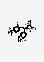 O=C1NC(=O)/C(=C(\Cc2ccc(C(F)(F)F)cc2Cl)c2ccc3[nH]ncc3c2)S1